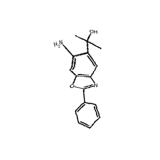 CC(C)(O)c1cc2nc(-c3ccccc3)oc2cc1N